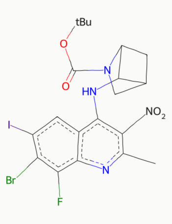 Cc1nc2c(F)c(Br)c(I)cc2c(NC2C3CC2N(C(=O)OC(C)(C)C)C3)c1[N+](=O)[O-]